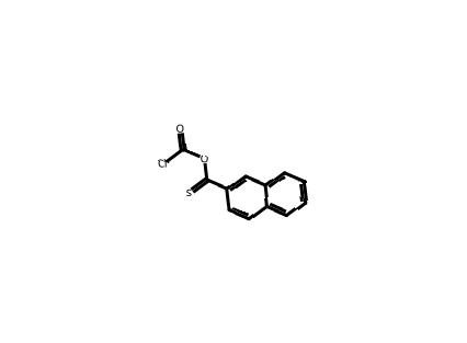 O=C(Cl)OC(=S)c1ccc2ccccc2c1